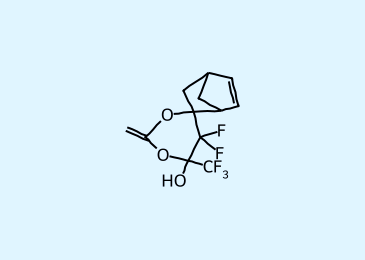 C=C1OC2(CC3C=CC2C3)C(F)(F)C(O)(C(F)(F)F)O1